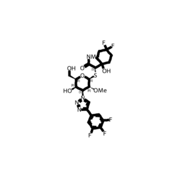 CNC(=O)[C@@H](S[C@@H]1O[C@H](CO)[C@H](O)[C@H](n2cc(-c3cc(F)c(F)c(F)c3)nn2)[C@H]1OC)C1(O)CCC(F)(F)CC1